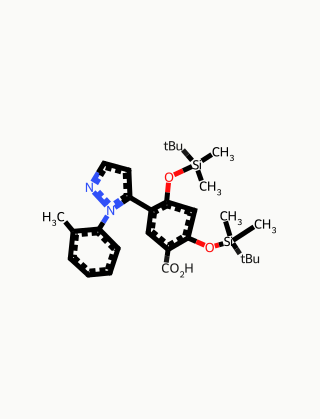 Cc1ccccc1-n1nccc1-c1cc(C(=O)O)c(O[Si](C)(C)C(C)(C)C)cc1O[Si](C)(C)C(C)(C)C